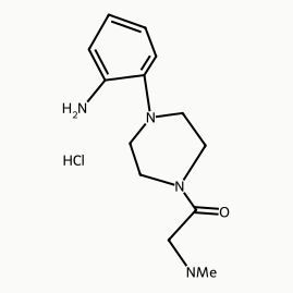 CNCC(=O)N1CCN(c2ccccc2N)CC1.Cl